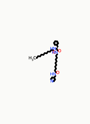 CCCCCCCCCCCC(=O)N[C@@H](Cc1ccccc1)C(=O)NCCCCCCCCCCC(=O)NCc1ccncc1